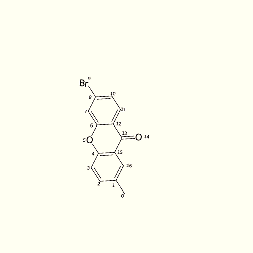 Cc1ccc2oc3cc(Br)ccc3c(=O)c2c1